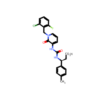 Cc1ccc([C@H](CC(=O)O)NC(=O)Nc2cccn(Cc3c(F)cccc3Cl)c2=O)cc1